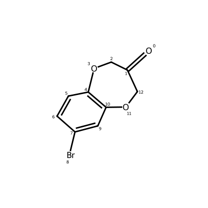 O=C1COc2ccc(Br)cc2OC1